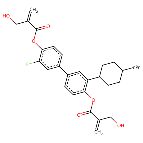 C=C(CO)C(=O)Oc1ccc(-c2ccc(OC(=O)C(=C)CO)c(C3CCC(CCC)CC3)c2)cc1F